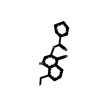 O=C(Oc1c[nH]c2c(CF)cccc2c1=O)c1ccccc1